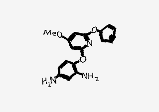 COc1cc(Oc2ccccc2)nc(Oc2ccc(N)cc2N)c1